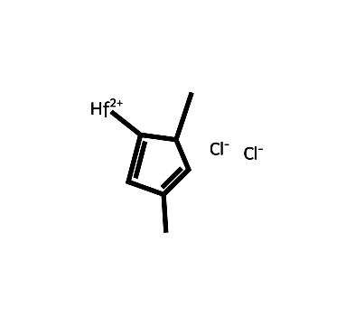 CC1=CC(C)[C]([Hf+2])=C1.[Cl-].[Cl-]